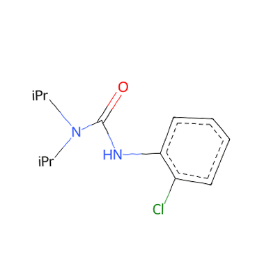 CC(C)N(C(=O)Nc1ccccc1Cl)C(C)C